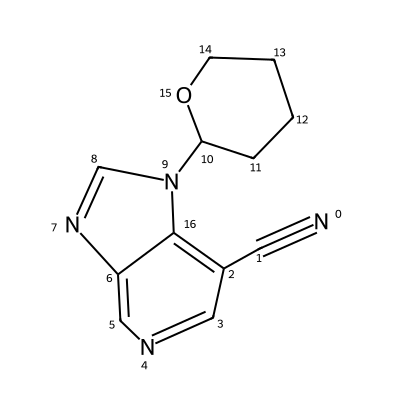 N#Cc1cncc2ncn(C3CCCCO3)c12